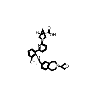 Cc1cccc(-c2cccc(N3C[C@@H]4C[C@]4(C(=O)O)C3)n2)c1OCc1ccc2c(c1)CCN(C1COC1)CC2